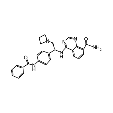 NC(=O)c1cccc2c(N[C@H](CN3CCC3)c3ccc(NC(=O)c4ccccc4)cc3)ncnc12